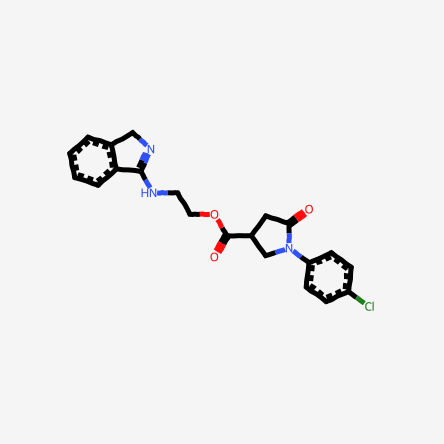 O=C(OCCNC1=NCc2ccccc21)C1CC(=O)N(c2ccc(Cl)cc2)C1